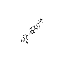 CP(C)(=O)c1ccc(Nc2ncnc3c2ncn3/C=C/c2cccc3c2CC(=O)N3)cc1